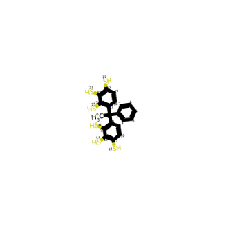 CC(c1ccccc1)(c1ccc(S)c(S)c1S)c1ccc(S)c(S)c1S